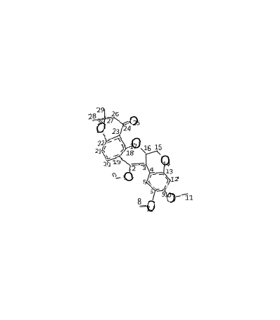 COC1=C2c3cc(OC)c(OC)cc3OCC2Oc2c1ccc1c2C(=O)CC(C)(C)O1